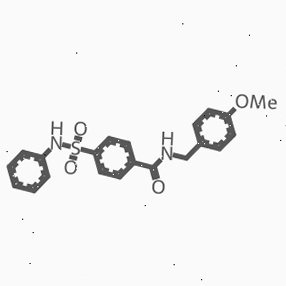 COc1ccc(CNC(=O)c2ccc(S(=O)(=O)Nc3ccccc3)cc2)cc1